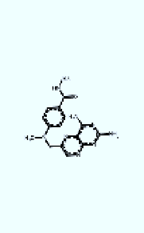 CCCCNC(=O)c1ccc(N(C)Cc2cnc3nc(N)nc(N)c3n2)cc1